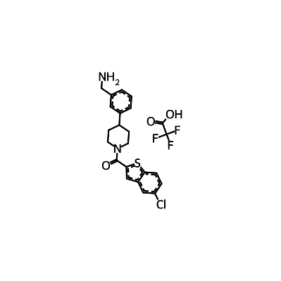 NCc1cccc(C2CCN(C(=O)c3cc4cc(Cl)ccc4s3)CC2)c1.O=C(O)C(F)(F)F